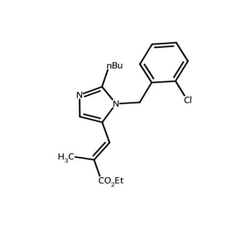 CCCCc1ncc(/C=C(\C)C(=O)OCC)n1Cc1ccccc1Cl